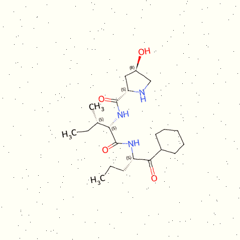 CCC[C@H](NC(=O)[C@@H](NC(=O)[C@@H]1C[C@@H](O)CN1)[C@@H](C)CC)C(=O)C1CCCCC1